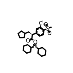 CS(=O)(=O)c1ccc([C@H](CC2CCCC2)C(=O)ON(C2CCCCC2)C2CCCCC2)cc1Cl